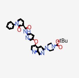 CC(C)(C)OC(=O)N1CCN(c2cc3c(Oc4ccc(NC(=O)c5cccn(-c6ccccc6)c5=O)nc4)ccnc3cn2)CC1